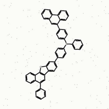 c1ccc(-c2cc3c4ccc(-c5ccc(N(c6ccccc6)c6ccc(-c7cc8ccccc8c8ccccc78)cc6)cc5)cc4oc3c3ccccc23)cc1